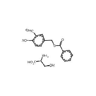 N[C@@H](CO)C(=O)O.O=Cc1cc(COC(=O)c2cc[c]cc2)ccc1O